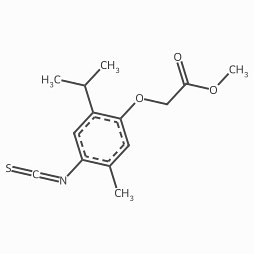 COC(=O)COc1cc(C)c(N=C=S)cc1C(C)C